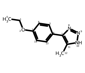 CCOc1ccc(-c2nn[nH]c2C)cc1